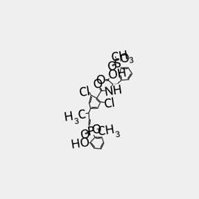 COP(=O)(/C=C/C(C)c1cc(Cl)c(C(=O)N[C@@H](Cc2cccc(S(C)(=O)=O)c2)C(=O)O)c(Cl)c1)c1ccccc1O